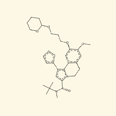 COc1cc2c(cc1OCCCOC1CCCCO1)-c1c(-c3cccs3)cc(C(=O)N(C)C(C)(C)C)n1CC2